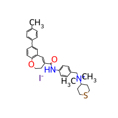 Cc1ccc(-c2ccc3c(c2)C=C(C(=O)Nc2ccc(C[N+](C)(C)C4CCSCC4)cc2)CCO3)cc1.[I-]